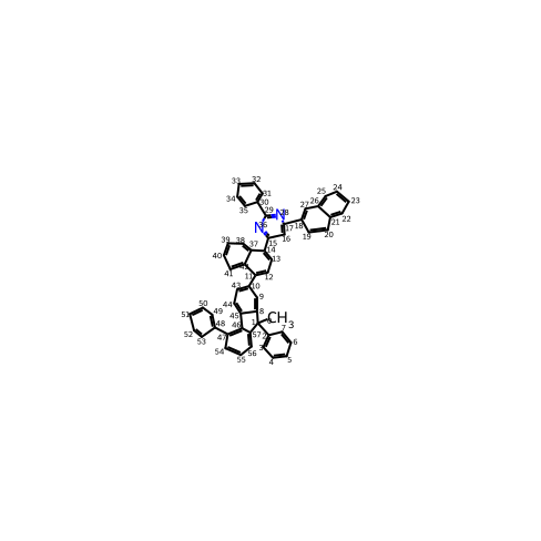 CC1(c2ccccc2)c2cc(-c3ccc(-c4cc(-c5ccc6ccccc6c5)nc(-c5ccccc5)n4)c4ccccc34)ccc2-c2c(-c3ccccc3)cccc21